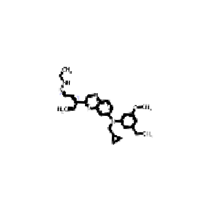 C=C/C(=C\C=N/NCC)c1cnc2ccc(N(CC3CC3)c3cc(CC)cc(OC)c3)cc2n1